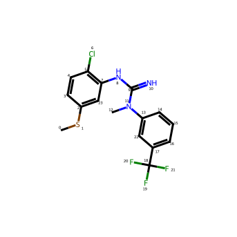 CSc1ccc(Cl)c(NC(=N)N(C)c2cccc(C(F)(F)F)c2)c1